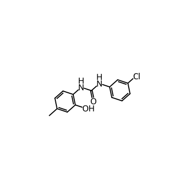 Cc1ccc(NC(=O)Nc2cccc(Cl)c2)c(O)c1